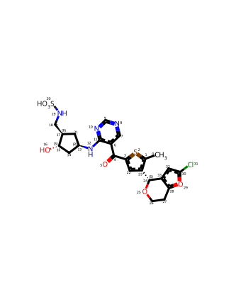 Cc1sc(C(=O)c2cncnc2N[C@H]2C[C@H](O)[C@@H]([CH]NS(=O)(=O)O)C2)cc1[C@H]1OCCc2oc(Cl)cc21